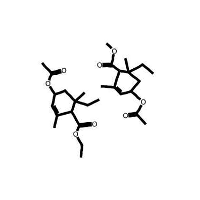 CCC1(C)CC(OC(C)=O)C=C(C)C1C(=O)OC.CCOC(=O)C1C(C)=CC(OC(C)=O)CC1(C)CC